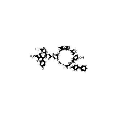 Cc1sc2c(c1C)C(c1ccc(Cl)cc1)=N[C@@H](CC(=O)NC[C@H]1CCCNC(=O)[C@@H](Cc3ccc(-c4ccccc4)cc3)NC(=O)[C@@H]3C[C@@H](O)CN3C(=O)[C@H](C(C)(C)C)n3cc(nn3)C3(CC3)CNC1=O)c1nnc(C)n1-2